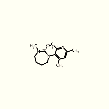 Cc1cc(C)c(N2CCCCN(C)[C@@H]2C)c(C)n1